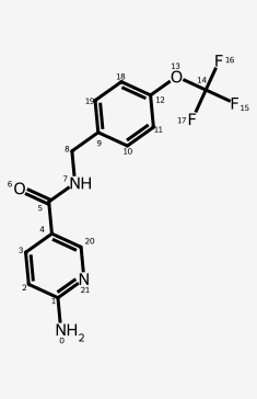 Nc1ccc(C(=O)NCc2ccc(OC(F)(F)F)cc2)cn1